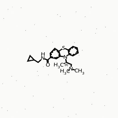 C[C@H](CN(C)C)N1c2ccccc2Sc2ccc(C(=O)NCC3CC3)cc21